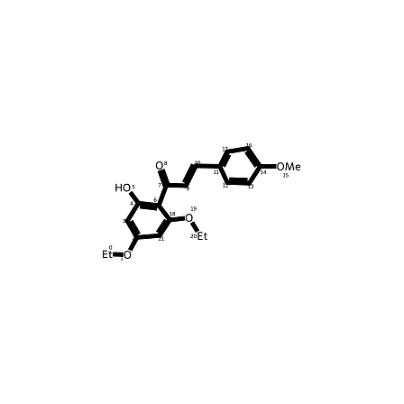 CCOc1cc(O)c(C(=O)/C=C/c2ccc(OC)cc2)c(OCC)c1